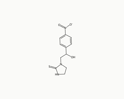 O=[N+]([O-])c1ccc(C(O)CN2CCNC2=S)cc1